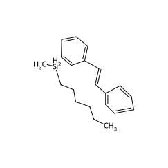 C(=Cc1ccccc1)c1ccccc1.CCCCCC[SiH2]C